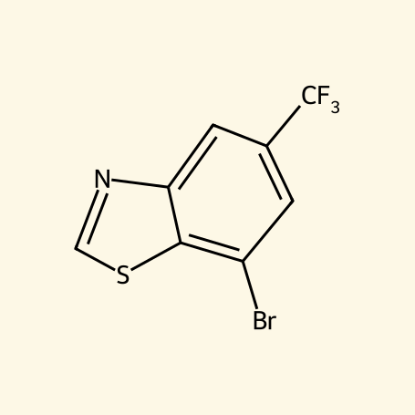 FC(F)(F)c1cc(Br)c2scnc2c1